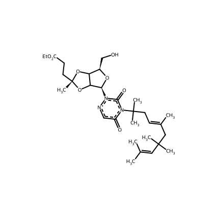 CCOC(=O)CC[C@@]1(C)OC2C(O1)[C@@H](CO)O[C@H]2n1ncc(=O)n(C(C)(C)C/C=C(\C)CC(C)(C)C=C(C)C)c1=O